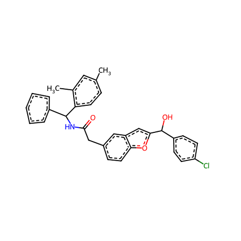 Cc1ccc(C(NC(=O)Cc2ccc3oc(C(O)c4ccc(Cl)cc4)cc3c2)c2ccccc2)c(C)c1